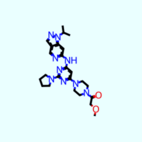 COCC(=O)N1CCN(c2cc(Nc3cc4c(cn3)cnn4C(C)C)nc(N3CCCC3)n2)CC1